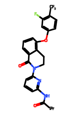 CC(C)C(=O)Nc1cccc(N2CCc3c(Oc4ccc(C(F)(F)F)c(F)c4)cccc3C2=O)n1